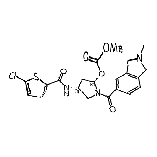 COC(=O)O[C@H]1C[C@@H](NC(=O)c2ccc(Cl)s2)CN1C(=O)c1ccc2c(c1)CN(C)C2